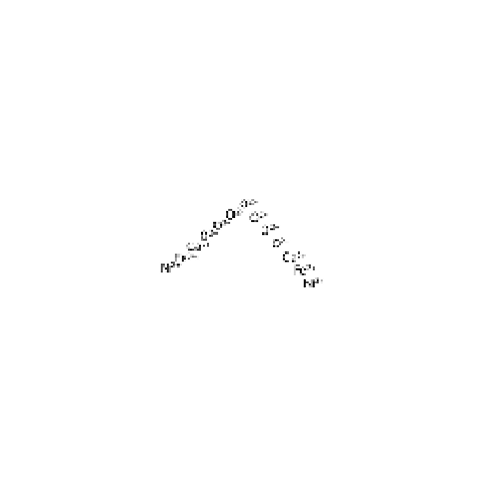 [Ca+2].[Ca+2].[Fe+3].[Fe+3].[Ni+2].[Ni+2].[O-2].[O-2].[O-2].[O-2].[O-2].[O-2].[O-2]